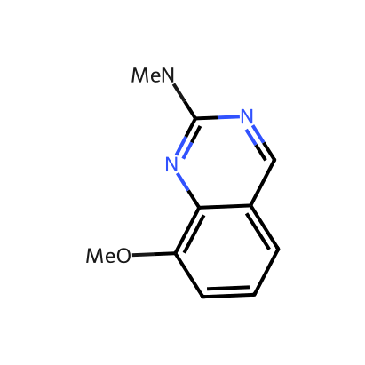 CNc1ncc2cccc(OC)c2n1